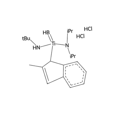 Cl.Cl.[BH]=[Ti]([NH]C(C)(C)C)([CH]1C(C)=Cc2ccccc21)[N](C(C)C)C(C)C